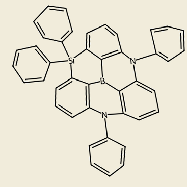 c1ccc(N2c3cccc4c3B3c5c2cccc5[Si](c2ccccc2)(c2ccccc2)c2cccc(c23)N4c2ccccc2)cc1